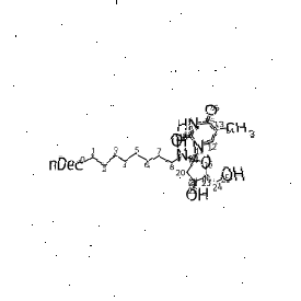 CCCCCCCCCCCCCCCCCCN[C@]1(n2cc(C)c(=O)[nH]c2=O)C[C@H](O)[C@@H](CO)O1